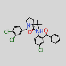 CC(C)(C)[C@]1(C(=O)Nc2ccc(Cl)cc2C(=O)c2ccccc2)CCCN1Cc1ccc(Cl)c(Cl)c1